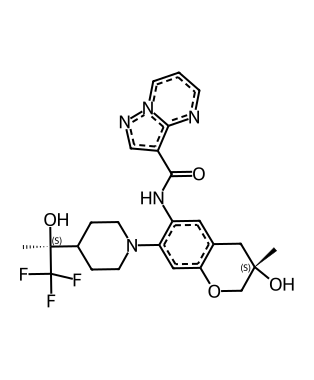 C[C@@]1(O)COc2cc(N3CCC([C@](C)(O)C(F)(F)F)CC3)c(NC(=O)c3cnn4cccnc34)cc2C1